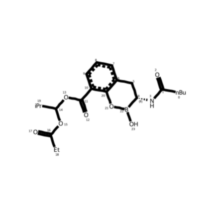 CCCCC(=O)N[C@H]1Cc2cccc(C(=O)OC(OC(=O)CC)C(C)C)c2OB1O